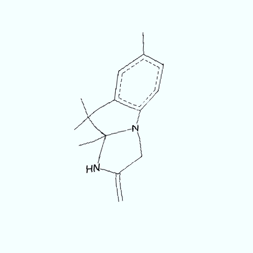 C=C1CN2c3ccc(C)cc3C(C)(C)C2(C)N1